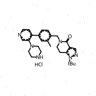 Cc1cc(-c2ccncc2N2CCNCC2)ccc1CN1CCc2c(cnn2C(C)(C)C)C1=O.Cl